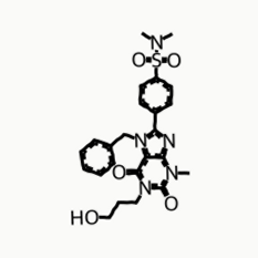 CN(C)S(=O)(=O)c1ccc(-c2nc3c(c(=O)n(CCCO)c(=O)n3C)n2Cc2ccccc2)cc1